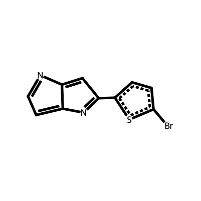 Brc1ccc(C2=NC3=CC=NC3=C2)s1